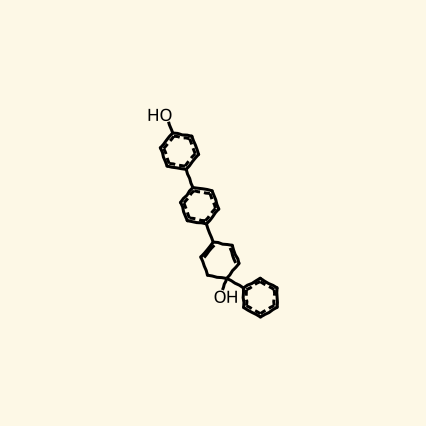 Oc1ccc(-c2ccc(C3=CCC(O)(c4ccccc4)C=C3)cc2)cc1